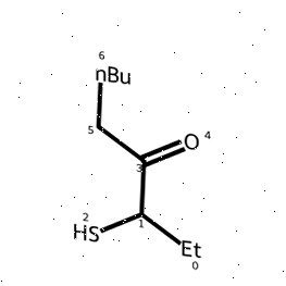 [CH2]CC(S)C(=O)CCCCC